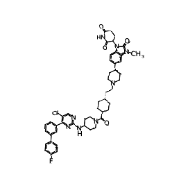 Cn1c(=O)n(C2CCC(=O)NC2=O)c2ccc(C3CCN(CC[C@H]4CC[C@H](C(=O)N5CCC(Nc6ncc(Cl)c(-c7cccc(-c8ccc(F)cc8)c7)n6)CC5)CC4)CC3)cc21